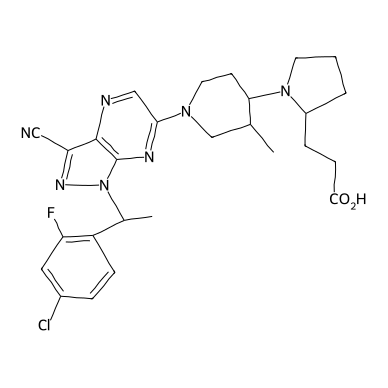 CC1CN(c2cnc3c(C#N)nn(C(C)c4ccc(Cl)cc4F)c3n2)CCC1N1CCCC1CCC(=O)O